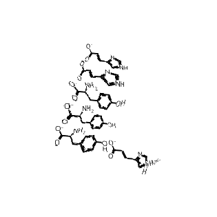 N[C@@H](Cc1ccc(O)cc1)C(=O)[O-].N[C@@H](Cc1ccc(O)cc1)C(=O)[O-].N[C@@H](Cc1ccc(O)cc1)C(=O)[O-].O=C([O-])C=Cc1c[nH]cn1.O=C([O-])C=Cc1c[nH]cn1.O=C([O-])C=Cc1c[nH]cn1.[Mo+6]